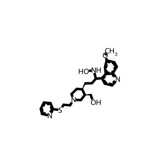 COc1ccc2nccc(C(CC[C@@H]3CCN(CCSc4ccccn4)C[C@@H]3CO)NO)c2c1